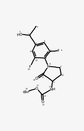 CC(O)c1cc(F)c(N2CCC(NC(=O)OC(C)(C)C)C2=O)c(F)c1